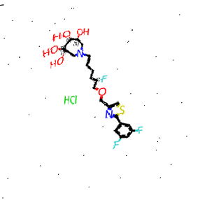 Cl.O[C@H]1[C@H](O)[C@@H](O)CN(CCCC[C@H](F)COCc2csc(-c3cc(F)cc(F)c3)n2)C[C@@H]1O